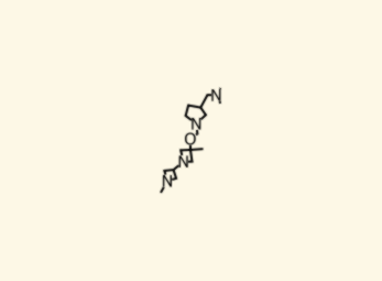 CN(C)CC1CCN(COC2(C)CN(C3CN(C)C3)C2)C1